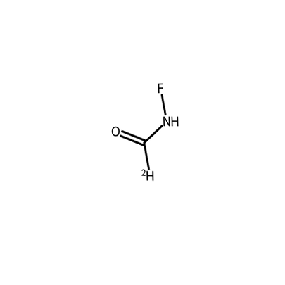 [2H]C(=O)NF